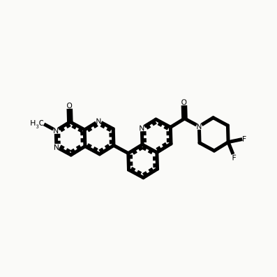 Cn1ncc2cc(-c3cccc4cc(C(=O)N5CCC(F)(F)CC5)cnc34)cnc2c1=O